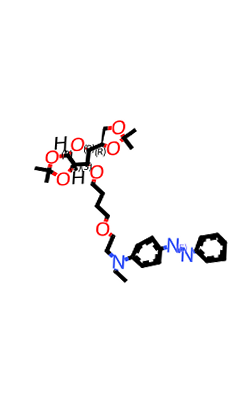 CCN(CCOCCCCO[C@@H]1[C@@H]2OC(C)(C)O[C@H]2O[C@@H]1[C@H]1COC(C)(C)O1)c1ccc(/N=N/c2ccccc2)cc1